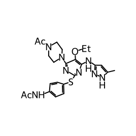 CCOc1c(Nc2cc(C)[nH]n2)nc(Sc2ccc(NC(C)=O)cc2)nc1N1CCN(C(C)=O)CC1